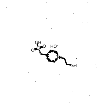 O=S(=O)(O)Cc1cc[n+](CCS)cc1.[OH-]